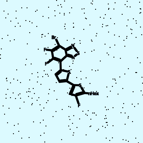 CCCCCCc1sc(-c2ccc(-c3c(F)c(F)c(Br)c4nsnc34)s2)cc1F